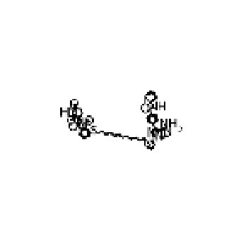 Nc1nccn2c([C@@H]3CCCN3CCCCCCCCCCCCSc3cccc4c3C(=O)N(C3CCC(=O)NC3=O)C4=O)nc(-c3ccc(C(=O)Nc4ccccn4)cc3)c12